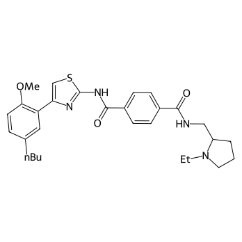 CCCCc1ccc(OC)c(-c2csc(NC(=O)c3ccc(C(=O)NCC4CCCN4CC)cc3)n2)c1